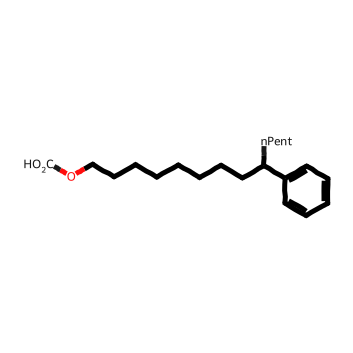 CCCCCC(CCCCCCCCOC(=O)O)c1ccccc1